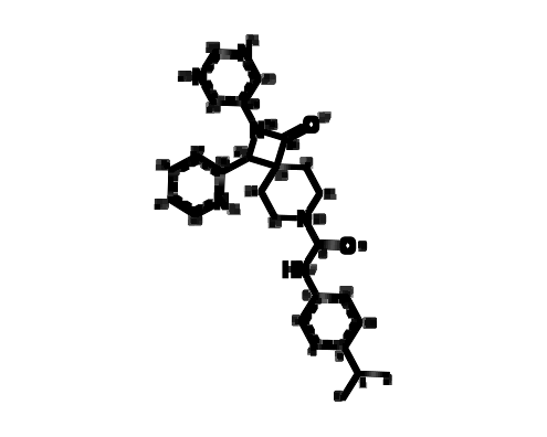 CC(C)c1ccc(NC(=O)N2CCC3(CC2)C(=O)N(c2cncnc2)C3c2ccccn2)cc1